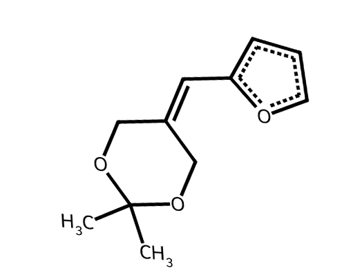 CC1(C)OCC(=Cc2ccco2)CO1